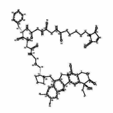 CC[C@@]1(O)C(=O)OCc2c1cc1n(c2=O)Cc2c-1nc1cc(F)c(C)cc1c2CN1CCC[C@@H]1COCNC(=O)CNC(=O)[C@H](Cc1ccccc1)NC(=O)CNC(=O)CNC(=O)CCCCCN1C(=O)C=CC1=O